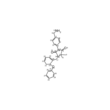 CC1(C)C(=O)N(c2ccc(CN)cc2)C(=O)N1CC1=CC=CCC1Oc1ccccc1